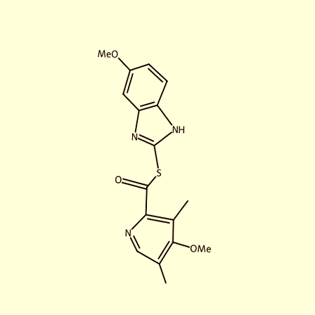 COc1ccc2[nH]c(SC(=O)c3ncc(C)c(OC)c3C)nc2c1